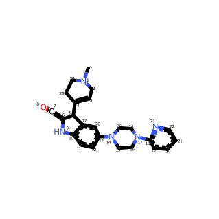 CN1CC=C(C2C(=C=O)Nc3ccc(N4CCN(c5ccccn5)CC4)cc32)CC1